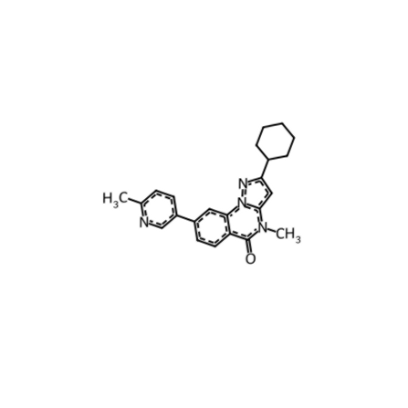 Cc1ccc(-c2ccc3c(=O)n(C)c4cc(C5CCCCC5)nn4c3c2)cn1